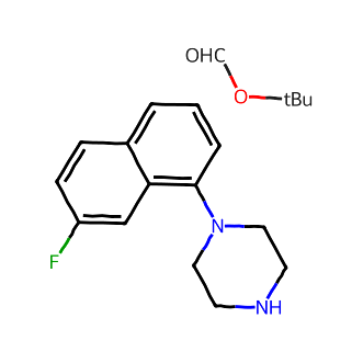 CC(C)(C)OC=O.Fc1ccc2cccc(N3CCNCC3)c2c1